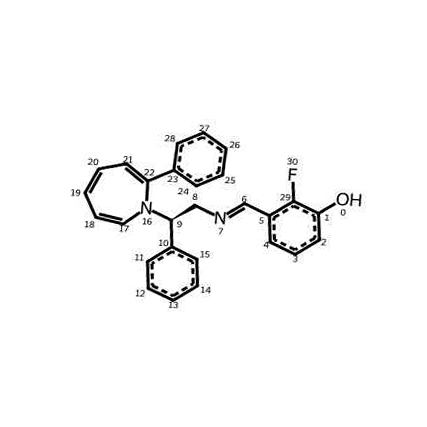 Oc1cccc(/C=N/C[C@@H](c2ccccc2)N2C=CC=CC=C2c2ccccc2)c1F